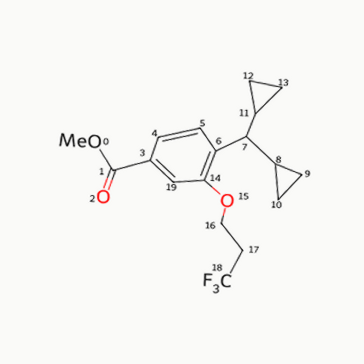 COC(=O)c1ccc(C(C2CC2)C2CC2)c(OCCC(F)(F)F)c1